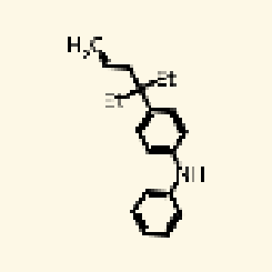 C=CCC(CC)(CC)c1ccc(Nc2ccccc2)cc1